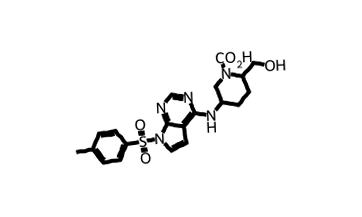 Cc1ccc(S(=O)(=O)n2ccc3c(NC4CCC(CO)N(C(=O)O)C4)ncnc32)cc1